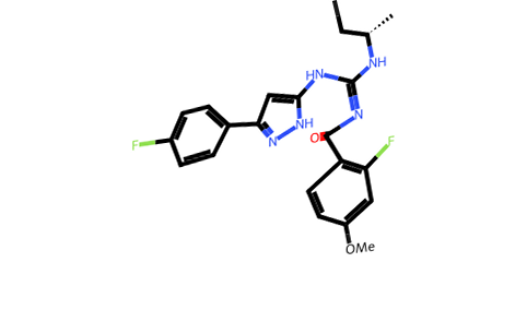 COC[C@H](C)N/C(=N/C(=O)c1ccc(OC)cc1F)Nc1cc(-c2ccc(F)cc2)n[nH]1